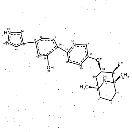 C[C@]12CCC[C@](C)(N1)[C@H](F)[C@H](Oc1cnc(-c3ccc(-c4cn[nH]c4)cc3O)cn1)C2